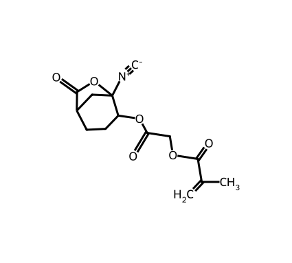 [C-]#[N+]C12CC(CCC1OC(=O)COC(=O)C(=C)C)C(=O)O2